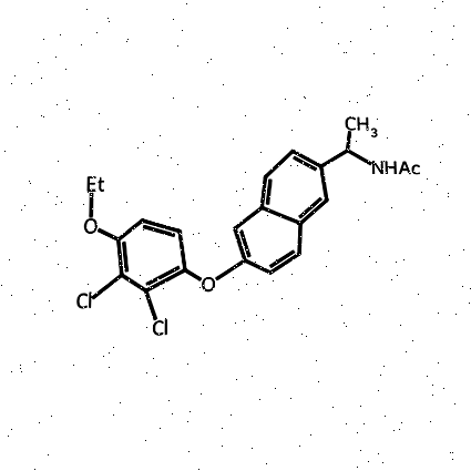 CCOc1ccc(Oc2ccc3cc(C(C)NC(C)=O)ccc3c2)c(Cl)c1Cl